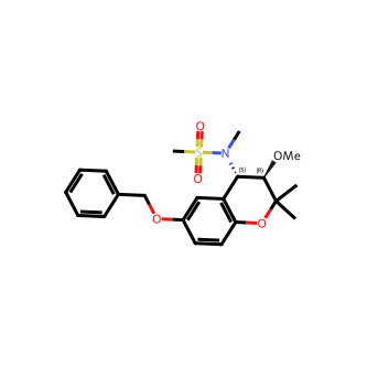 CO[C@@H]1[C@@H](N(C)S(C)(=O)=O)c2cc(OCc3ccccc3)ccc2OC1(C)C